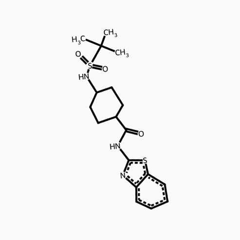 CC(C)(C)S(=O)(=O)NC1CCC(C(=O)Nc2nc3ccccc3s2)CC1